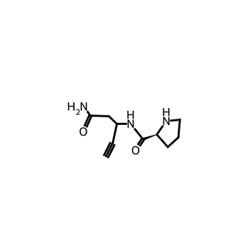 C#CC(CC(N)=O)NC(=O)[C@@H]1CCCN1